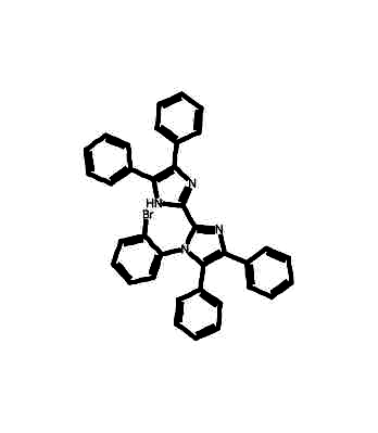 Brc1ccccc1-n1c(-c2nc(-c3ccccc3)c(-c3ccccc3)[nH]2)nc(-c2ccccc2)c1-c1ccccc1